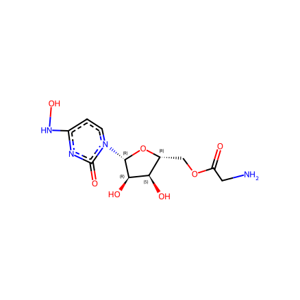 NCC(=O)OC[C@H]1O[C@@H](n2ccc(NO)nc2=O)[C@H](O)[C@@H]1O